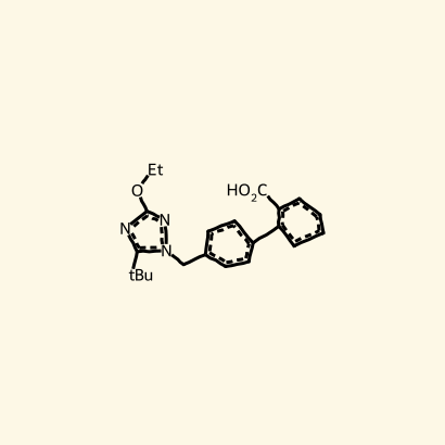 CCOc1nc(C(C)(C)C)n(Cc2ccc(-c3ccccc3C(=O)O)cc2)n1